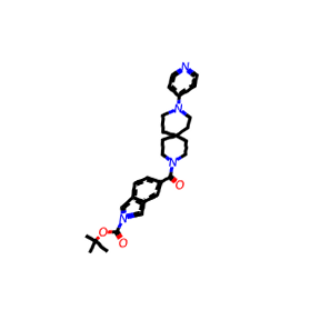 CC(C)(C)OC(=O)n1cc2ccc(C(=O)N3CCC4(CC3)CCN(c3ccncc3)CC4)cc2c1